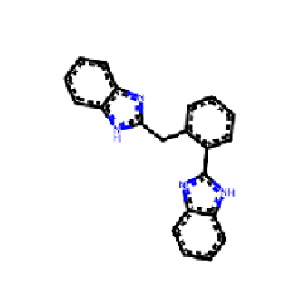 c1ccc(-c2nc3ccccc3[nH]2)c(Cc2nc3ccccc3[nH]2)c1